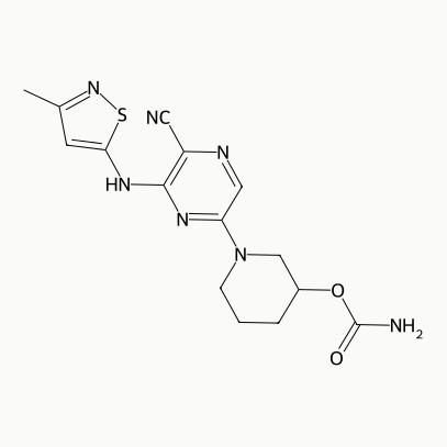 Cc1cc(Nc2nc(N3CCCC(OC(N)=O)C3)cnc2C#N)sn1